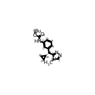 Cn1cnnc1[C@@H](c1cccc(NC(=O)OC(C)(C)C)c1)C1CC1